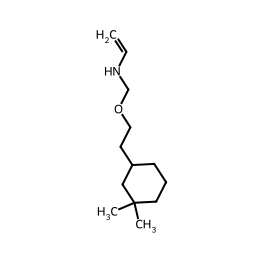 C=CNCOCCC1CCCC(C)(C)C1